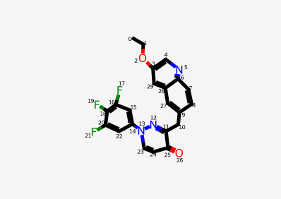 CCOc1cnc2ccc(Cc3nn(-c4cc(F)c(F)c(F)c4)ccc3=O)cc2c1